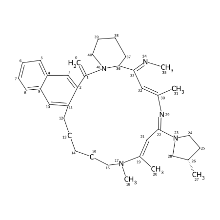 C=C1c2cc3ccccc3cc2CCCCCN(C)/C(C)=C/C(N2CC[C@H](C)C2)=N\C(C)=C\C(=N/C)C2CCCCN12